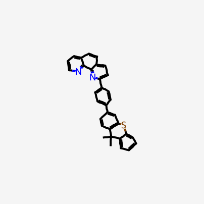 CC1(C)c2ccccc2Sc2cc(-c3ccc(-c4ccc5ccc6cccnc6c5n4)cc3)ccc21